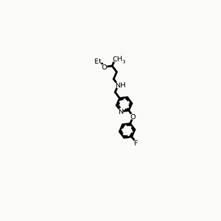 CCOC(C)CCNCc1ccc(Oc2cccc(F)c2)nc1